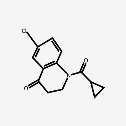 O=C1CCN(C(=O)C2CC2)c2ccc(Cl)cc21